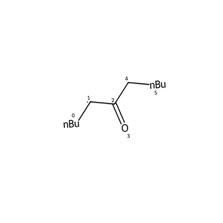 CCCC[CH]C(=O)CCCCC